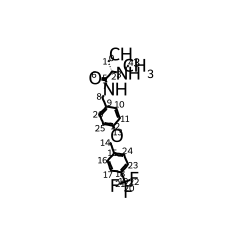 CC[C@H](NC)C(=O)NCc1ccc(OCc2ccc(C(F)(F)F)cc2)cc1